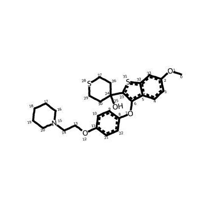 COc1ccc2c(Oc3ccc(OCCN4CCCCC4)cc3)c(C3(O)CCSCC3)sc2c1